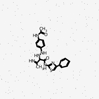 CC(=N)C(NNc1ccc(NC(C)=O)cc1)C(=O)Nc1nc(-c2ccccc2)cs1